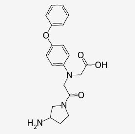 NC1CCN(C(=O)CN(CC(=O)O)c2ccc(Oc3ccccc3)cc2)C1